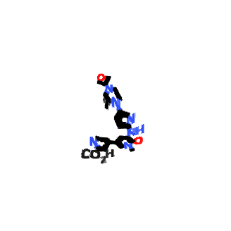 C[C@H]1CN(C2COC2)CCN1c1ccc(Nc2cc(-c3ccncc3C(=O)O)cn(C)c2=O)nc1